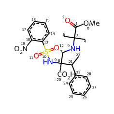 COC(=O)C(C)(C)NCC(NS(=O)(=O)c1ccccc1[N+](=O)[O-])(C(=O)O)C(C)c1ccccc1